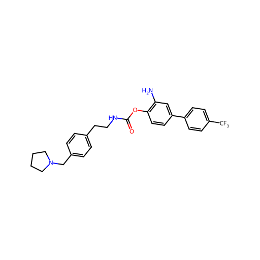 Nc1cc(-c2ccc(C(F)(F)F)cc2)ccc1OC(=O)NCCc1ccc(CN2CCCC2)cc1